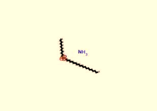 CCCCCCCCCCCCCCCCCCCCCOS(=O)(=O)CCCCCCCCCCCC.N